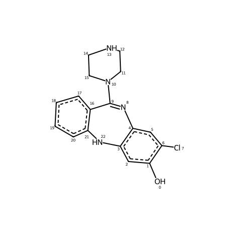 Oc1cc2c(cc1Cl)N=C(N1CCNCC1)c1ccccc1N2